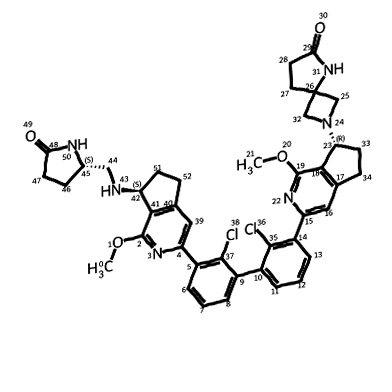 COc1nc(-c2cccc(-c3cccc(-c4cc5c(c(OC)n4)[C@H](N4CC6(CCC(=O)N6)C4)CC5)c3Cl)c2Cl)cc2c1[C@@H](NC[C@@H]1CCC(=O)N1)CC2